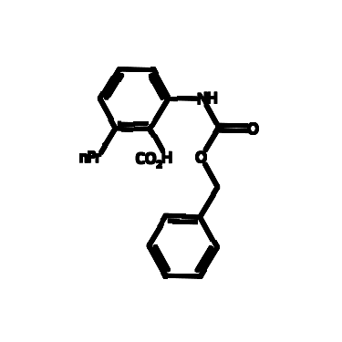 CCCc1cccc(NC(=O)OCc2ccccc2)c1C(=O)O